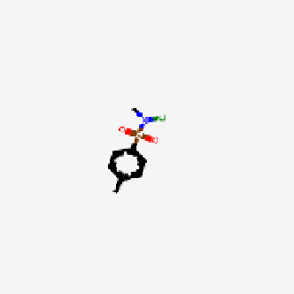 Cc1ccc(S(=O)(=O)N(C)Cl)cc1